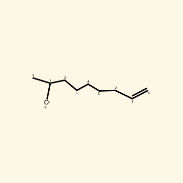 C=CCCCCCC(C)[O]